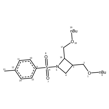 CCCCOCC1CN(S(=O)(=O)c2ccc(C)cc2)C1COCCCC